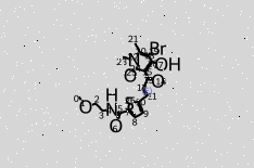 COCCNC(=O)c1ccc(/C=C/C(=O)c2c(O)c(Br)c(C)n(C)c2=O)s1